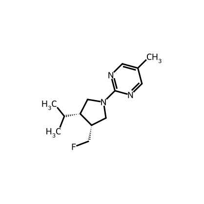 Cc1cnc(N2C[C@H](CF)[C@H](C(C)C)C2)nc1